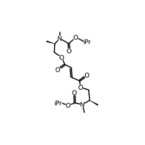 CC(C)OC(=O)N(C)[C@H](C)COC(=O)/C=C/C(=O)OC[C@@H](C)N(C)C(=O)OC(C)C